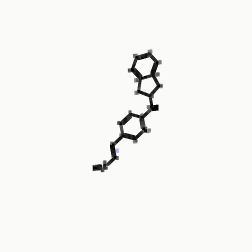 O=C(O)/C=C/c1ccc(NC2Cc3ccccc3C2)nc1